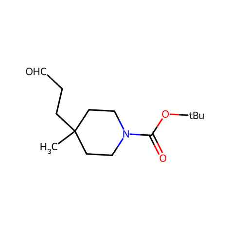 CC1(CCC=O)CCN(C(=O)OC(C)(C)C)CC1